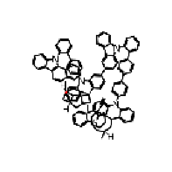 C#C[C@H]1CC2CCC1C(c1ccccc1N(c1ccc(-c3ccc(-c4ccccc4-n4c5ccccc5c5cc(-c6ccc([C@]78CC9C[C@H]%10C[C@H](C7)C%10C98)c(N(c7ccccc7)c7ccc(-c8ccccc8-n8c9ccccc9c9ccc%10ccccc%10c98)cc7)c6)ccc54)cc3)cc1)c1ccc3c(c1)sc1ccccc13)C[C@@H](C)C2